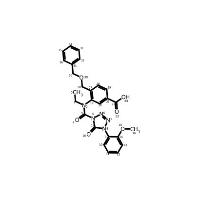 CCN(C(=O)n1nnn(-c2ccccc2OC)c1=O)c1cc(C(=O)O)ccc1COCc1ccccc1